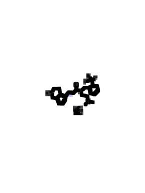 CN(C)CCN(Cc1ccccc1C(F)(F)F)C(=O)/C=C/c1cccc2c1CCNC2.Cl.Cl